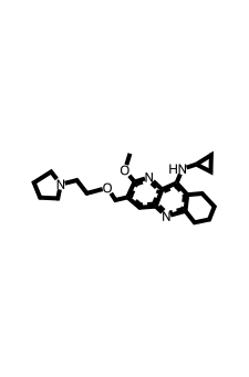 COc1nc2c(NC3CC3)c3c(nc2cc1COCCN1CCCC1)CCCC3